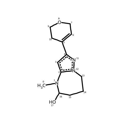 CN1c2cc(C3=CCOCC3)nn2CCCC1O